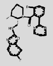 C[C@@H]1CCCN(C(=O)c2c(F)cccc2-c2ncccn2)[C@@H]1CNc1nc2ccc(F)cc2o1